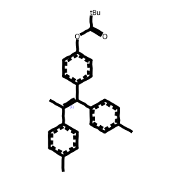 C/C(=C(/c1ccc(C)cc1)c1ccc(OC(=O)C(C)(C)C)cc1)c1ccc(C)cc1